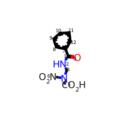 O=C(NCN(C(=O)O)[N+](=O)[O-])c1ccccc1